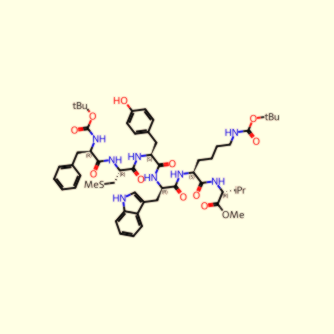 COC(=O)[C@H](NC(=O)[C@H](CCCCNC(=O)OC(C)(C)C)NC(=O)[C@@H](Cc1c[nH]c2ccccc12)NC(=O)[C@H](Cc1ccc(O)cc1)NC(=O)[C@H](CSC)NC(=O)[C@@H](Cc1ccccc1)NC(=O)OC(C)(C)C)C(C)C